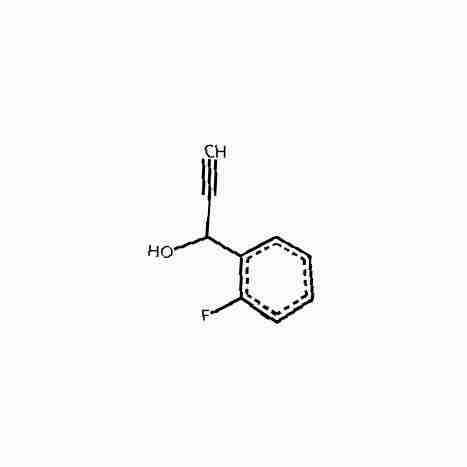 C#CC(O)c1ccccc1F